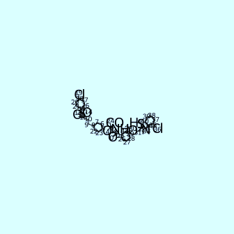 O=C(NC(Oc1ccc(CCCS(=O)(=O)c2ccc(Cl)cc2)cc1)C(=O)O)c1cccc(OCc2nc3c(Cl)cccc3s2)c1